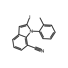 Cc1ccccc1-n1c(I)cc2cccc(C#N)c21